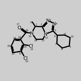 CC1c2nnc(C3CCCCC3)n2CCN1C(=O)c1cccc(Cl)c1Cl